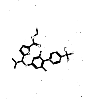 CCOC(=O)c1ccc(C(Sc2cc(C)c(-c3ccc(C(F)(F)F)cc3)c(C)c2)C(C)C)s1